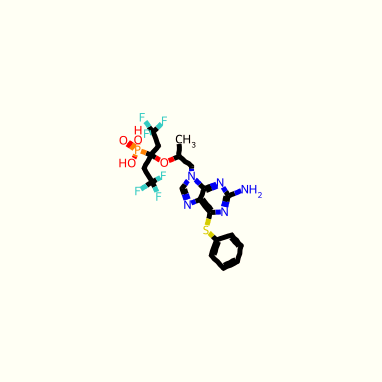 CC(Cn1cnc2c(Sc3ccccc3)nc(N)nc21)OC(CC(F)(F)F)(CC(F)(F)F)P(=O)(O)O